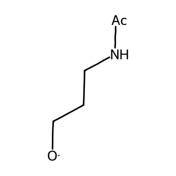 CC(=O)NCCC[O]